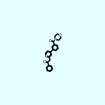 O=C(Cc1cc(-c2cccc(C(=O)N3CCOCC3)c2)ccn1)c1ccccc1